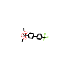 CCO[Si](OC)(OCC)c1ccc(-c2ccc(C(F)(F)F)cc2)cc1